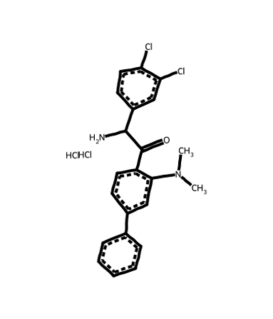 CN(C)c1cc(-c2ccccc2)ccc1C(=O)C(N)c1ccc(Cl)c(Cl)c1.Cl.Cl